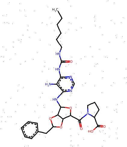 CCCCCCNC(=O)Nc1ncnc(NC2OC(C(=O)N3CCCC3C(=O)O)C3OC(Cc4ccccc4)OC23)c1N